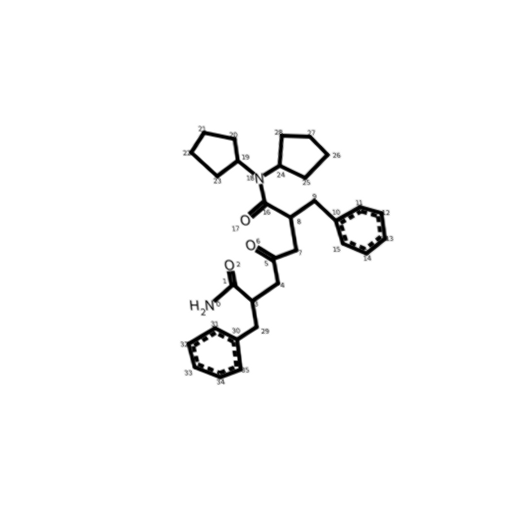 NC(=O)C(CC(=O)CC(Cc1ccccc1)C(=O)N(C1CCCC1)C1CCCC1)Cc1ccccc1